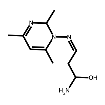 CC1=CC(C)=NC(C)N1/N=C\CC(N)O